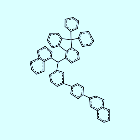 c1ccc(C2(c3ccccc3)c3ccccc3-c3c(N(c4cccc(-c5ccc(-c6ccc7ccccc7c6)cc5)c4)c4cccc5ccccc45)cccc32)cc1